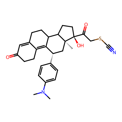 CN(C)c1ccc([C@H]2C[C@@]3(C)C(CC[C@]3(O)C(=O)CSC#N)C3CCC4=CC(=O)CCC4=C32)cc1